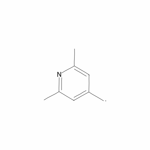 [CH2]c1cc(C)nc(C)c1